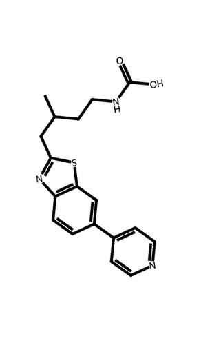 CC(CCNC(=O)O)Cc1nc2ccc(-c3ccncc3)cc2s1